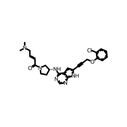 CN(C)C/C=C/C(=O)N1CC[C@@H](Nc2ncnc3[nH]c(C#CCOc4ccccc4Cl)cc23)C1